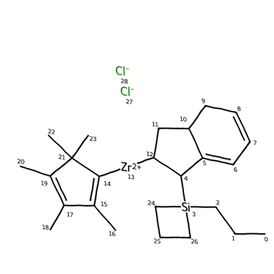 CCC[Si]1(C2C3=CC=CCC3C[CH]2[Zr+2][C]2=C(C)C(C)=C(C)C2(C)C)CCC1.[Cl-].[Cl-]